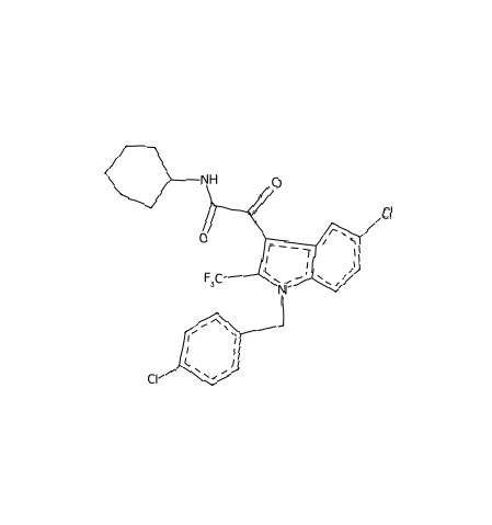 O=C(NC1CCCCC1)C(=O)c1c(C(F)(F)F)n(Cc2ccc(Cl)cc2)c2ccc(Cl)cc12